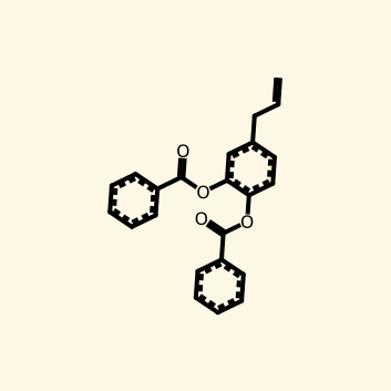 C=CCc1ccc(OC(=O)c2ccccc2)c(OC(=O)c2ccccc2)c1